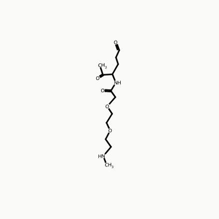 CNCCOCCOCC(=O)NC(CCC=O)C(C)=O